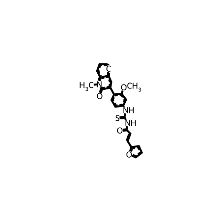 COc1cc(NC(=S)NC(=O)C=Cc2ccco2)ccc1-c1cc2ccccc2n(C)c1=O